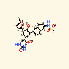 COc1c(-c2ccc3cc(NS(C)(=O)=O)ccc3c2)cc(-c2c[nH]c(=O)[nH]c2=O)cc1-c1ccc(C)o1